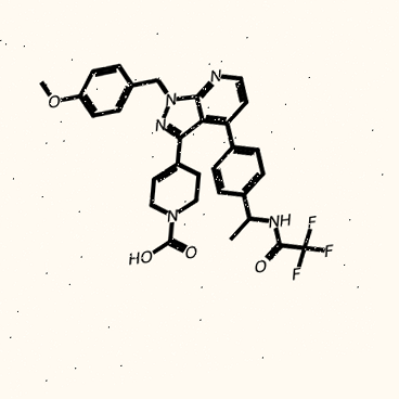 COc1ccc(Cn2nc(C3=CCN(C(=O)O)CC3)c3c(-c4ccc(C(C)NC(=O)C(F)(F)F)cc4)ccnc32)cc1